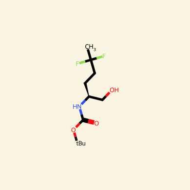 CC(F)(F)CC[C@@H](CO)NC(=O)OC(C)(C)C